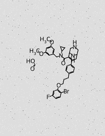 COc1cc(CN(C(=O)C2=C(c3ccc(CCCOc4cc(F)ccc4Br)cc3)CC3CNCC2N3)C2CC2)cc(OC)c1.O=CO